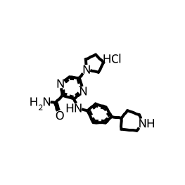 Cl.NC(=O)c1ncc(N2CCCC2)nc1Nc1ccc(C2CCNCC2)cc1